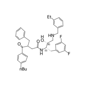 CCCCc1ccc(C(=O)C(CC(=O)N[C@@H](Cc2cc(F)cc(F)c2)[C@H](O)CNCc2cccc(CC)c2)Cc2ccccc2)cc1